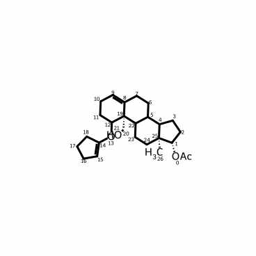 CC(=O)O[C@H]1CCC2C3CCC4=CCCC(OC5=CCCC5)[C@]4(CO)C3CC[C@@]21C